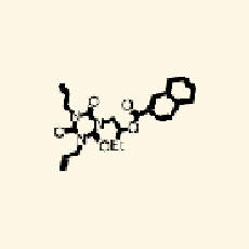 C=CCn1c(=O)n(CC=C)c(=O)n(CC(CC)OC(=O)c2ccc3ccccc3c2)c1=O